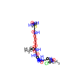 CN1C(=O)CN=C(c2cccc(CCCNC(=O)c3nnn(-c4ccc(NC(=O)CCCNC(CCOCCOCCOCCOCCNC(=O)CCCC[C@@H]5SC[C@@H]6NC(=O)N[C@@H]65)=C5C(=O)CC(C)(C)CC5=O)cc4)n3)c2)c2cc(Cl)ccc21